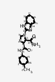 Cc1ccc(NC(=O)c2ncn(-c3nc4ccccc4[nH]3)c2C(N)=O)cc1